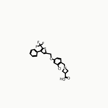 O=C(O)C1CN(Cc2ccc(OCc3cc(-c4ccccc4)c(C(F)(F)F)s3)cc2Cl)C1